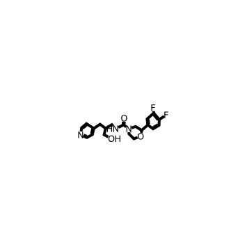 O=C(NCC(CO)Cc1ccncc1)N1CCOC(c2ccc(F)c(F)c2)C1